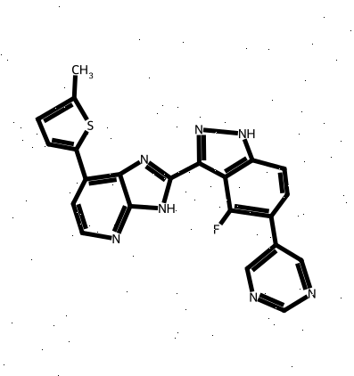 Cc1ccc(-c2ccnc3[nH]c(-c4n[nH]c5ccc(-c6cncnc6)c(F)c45)nc23)s1